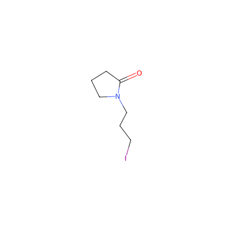 O=C1CCCN1CCCI